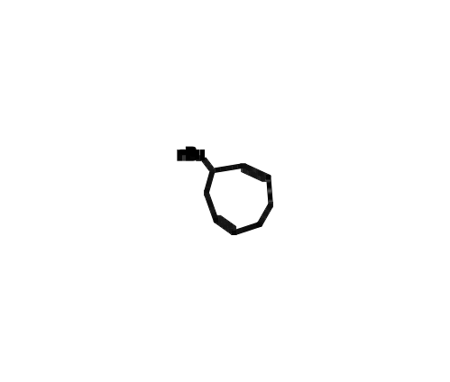 CCCCC1C=CCCC=CC1